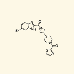 O=C(c1nc2ccc(Br)cc2[nH]1)N1CC(N2CCN(C(=O)c3nccs3)CC2)C1